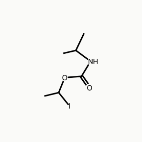 CC(C)NC(=O)OC(C)I